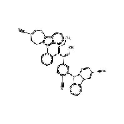 C/C=C(\C(=C/CC)c1ccccc1-n1c2c(c3ccccc31)SC=C(C#N)CC2)c1ccc(C#N)c(N2c3ccccc3C3C=C(C#N)C=CC32)c1